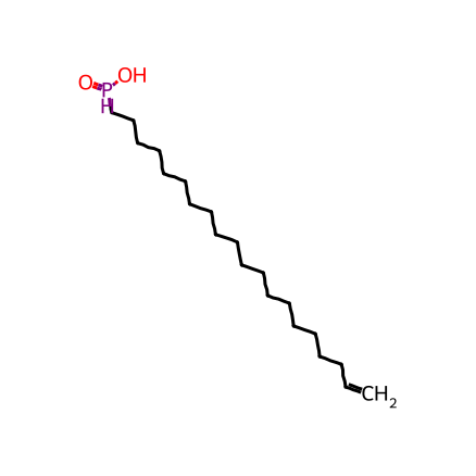 C=CCCCCCCCCCCCCCCCCCC[PH](=O)O